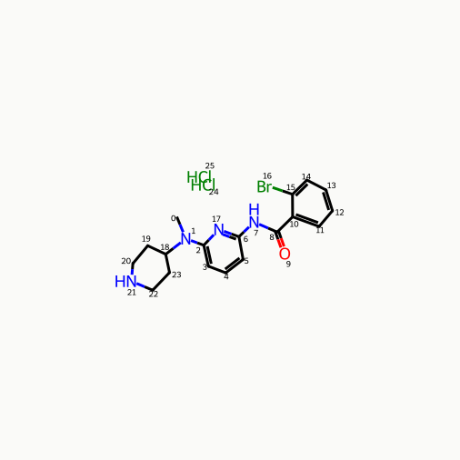 CN(c1cccc(NC(=O)c2ccccc2Br)n1)C1CCNCC1.Cl.Cl